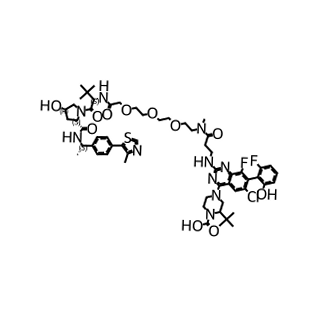 Cc1ncsc1-c1ccc([C@H](C)NC(=O)[C@@H]2C[C@@H](O)CN2C(=O)[C@@H](NC(=O)COCCOCCOCCN(C)C(=O)CCNc2nc(N3CCN(C(=O)O)C(C(C)(C)C)C3)c3cc(Cl)c(-c4c(O)cccc4F)c(F)c3n2)C(C)(C)C)cc1